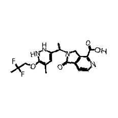 CC1=C(OCC(C)(F)F)NNC(C(C)N2Cc3c(ccnc3C(=O)O)C2=O)=C1